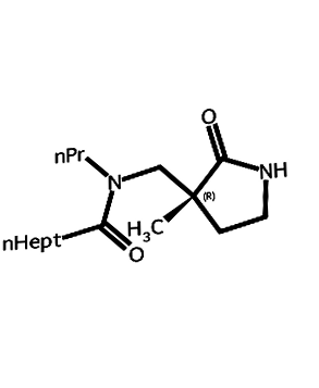 CCCCCCCC(=O)N(CCC)C[C@@]1(C)CCNC1=O